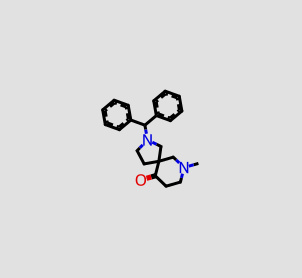 CN1CCC(=O)C2(CCN(C(c3ccccc3)c3ccccc3)C2)C1